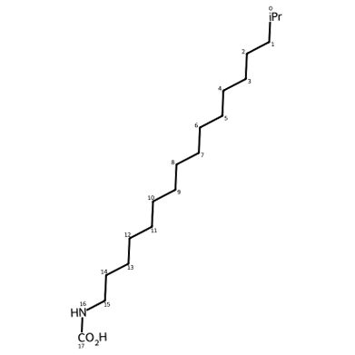 CC(C)CCCCCCCCCCCCCCCNC(=O)O